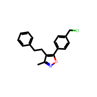 Cc1noc(-c2ccc(CCl)cc2)c1C[CH]c1ccccc1